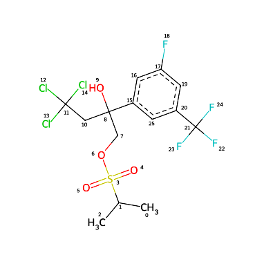 CC(C)S(=O)(=O)OCC(O)(CC(Cl)(Cl)Cl)c1cc(F)cc(C(F)(F)F)c1